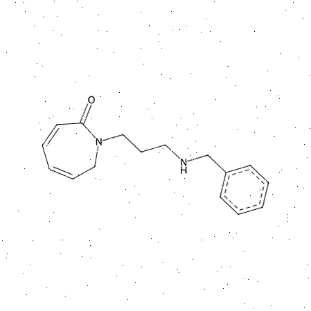 O=C1C=CC=CCN1CCCNCc1ccccc1